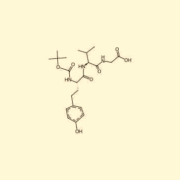 CC(C)[C@H](NC(=O)[C@H](CCc1ccc(O)cc1)NC(=O)OC(C)(C)C)C(=O)NCC(=O)O